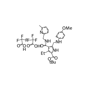 CCc1c(C(=O)OC(C)(C)C)[nH]c(CNc2ccc(OC)cc2)c1C(=O)NCc1cccc(C)n1.O=C(O)C(F)(F)F.O=C(O)C(F)(F)F